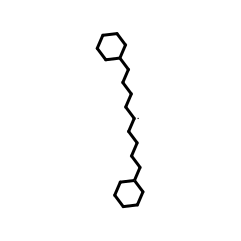 [CH](CCCCC1CCCCC1)CCCCC1CCCCC1